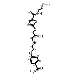 CCCC(C)CCNC(=O)c1cnc(OCC(O)CNCCOc2ccc(C(N)=O)cc2)s1